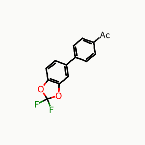 CC(=O)c1ccc(-c2ccc3c(c2)OC(F)(F)O3)cc1